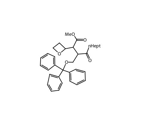 CCCCCCCC(=O)C(COC(c1ccccc1)(c1ccccc1)c1ccccc1)C(C(=O)OC)C1CCO1